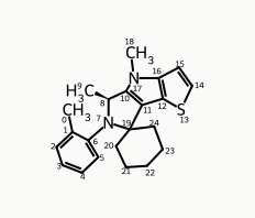 Cc1ccccc1N1[C@@H](C)c2c(c3sccc3n2C)C12CCCCC2